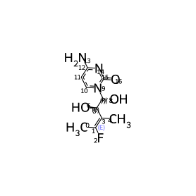 C/C(F)=C(/C)[C@@H](O)[C@@H](O)n1ccc(N)nc1=O